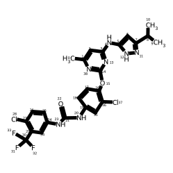 Cc1cc(Nc2cc(C(C)C)n[nH]2)nc(Oc2ccc(NC(=O)Nc3ccc(Cl)c(C(F)(F)F)c3)cc2Cl)n1